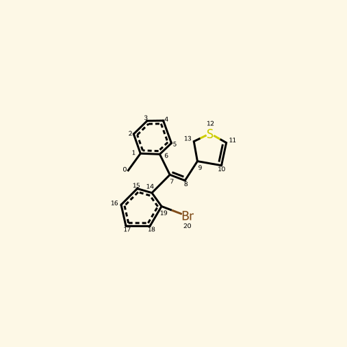 Cc1ccccc1C(=CC1C=CSC1)c1ccccc1Br